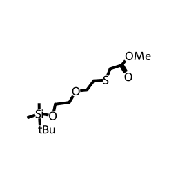 COC(=O)CSCCOCCO[Si](C)(C)C(C)(C)C